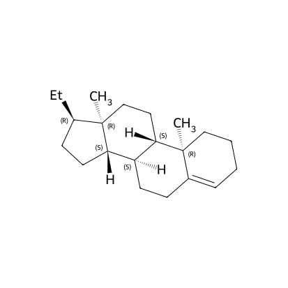 CC[C@@H]1CC[C@H]2[C@@H]3CCC4=CCCC[C@]4(C)[C@H]3CC[C@]12C